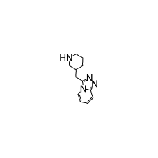 c1ccn2c(CC3CCCNC3)nnc2c1